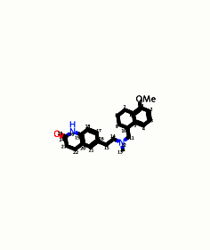 COc1cccc2c1CCCC2CN(C)CCc1ccc2c(c1)CCC(=O)N2